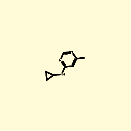 Cc1cc(NC2CC2)ncn1